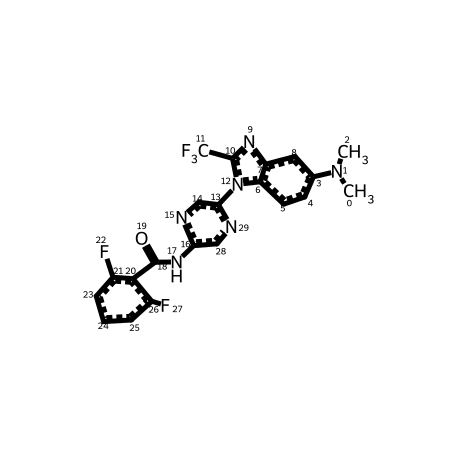 CN(C)c1ccc2c(c1)nc(C(F)(F)F)n2-c1cnc(NC(=O)c2c(F)cccc2F)cn1